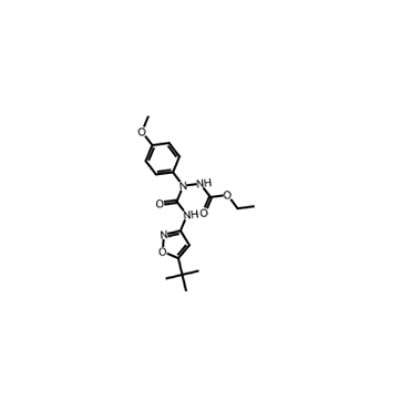 CCOC(=O)NN(C(=O)Nc1cc(C(C)(C)C)on1)c1ccc(OC)cc1